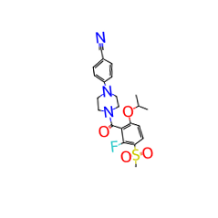 CC(C)Oc1ccc(S(C)(=O)=O)c(F)c1C(=O)N1CCN(c2ccc(C#N)cc2)CC1